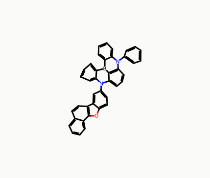 c1ccc(N2c3ccccc3B3c4ccccc4N(c4ccc5oc6c7ccccc7ccc6c5c4)c4cccc2c43)cc1